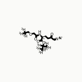 [2H]C([2H])([2H])COCC(=O)N[C@@H](CCC(=O)C=[N+]=[N-])C(=O)OC([2H])(C([2H])([2H])[2H])C([2H])([2H])[2H]